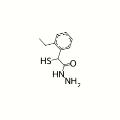 CCc1ccccc1C(S)C(=O)NN